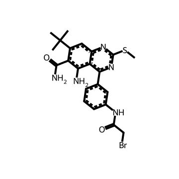 CSc1nc(-c2cccc(NC(=O)CBr)c2)c2c(N)c(C(N)=O)c(C(C)(C)C)cc2n1